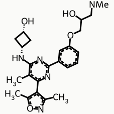 CNCC(O)COc1cccc(-c2nc(N[C@H]3C[C@@H](O)C3)c(C)c(-c3c(C)noc3C)n2)c1